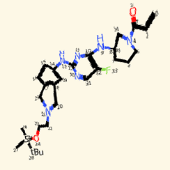 C=CC(=O)N1CCC[C@@H](Nc2nc(Nc3ccc4c(c3)CN(CCO[Si](C)(C)C(C)(C)C)C4)ncc2F)C1